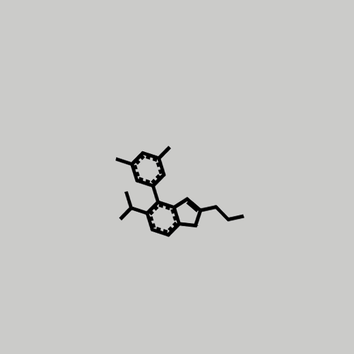 CCCC1=Cc2c(ccc(C(C)C)c2-c2cc(C)cc(C)c2)[CH]1